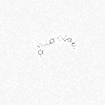 Cc1ccc(-n2nc(C(C)(C)C)cc2NC(=O)Nc2ccc(CC3CCN(S(=O)(=O)c4ccc(-c5csc(C)n5)s4)CC3)cc2)cc1